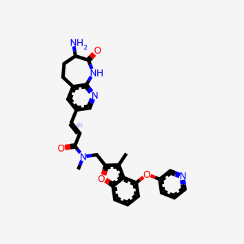 Cc1c(CN(C)C(=O)/C=C/c2cnc3c(c2)CCC(N)C(=O)N3)oc2cccc(Oc3cccnc3)c12